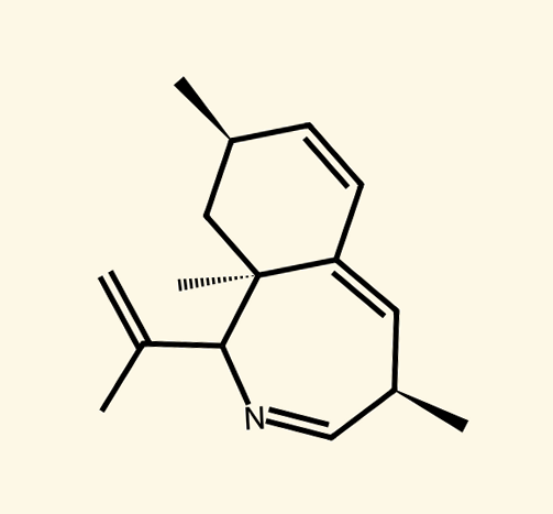 C=C(C)C1N=C[C@H](C)C=C2C=C[C@H](C)C[C@@]21C